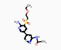 CCOCCS(=O)(=O)c1cc(-c2ccnc(NC(C)=O)c2)cnc1N